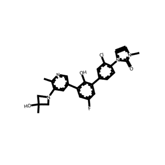 Cc1ncc(-c2cc(F)cc(-c3ccc(-n4c#cn(C)c4=O)c(Cl)c3)c2O)cc1N1CC(C)(O)C1